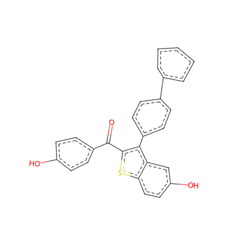 O=C(c1ccc(O)cc1)c1sc2ccc(O)cc2c1-c1ccc(-c2ccccc2)cc1